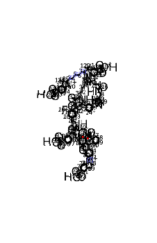 C[N+]1=C(/C=C/C=C/C=C2\N(CCCCCC(=O)NCc3cn(-c4cccc(C(=O)N[C@@H](CCCCN)C(=O)COc5c(F)cc(CNC(=O)C6CCN(S(=O)(=O)c7ccccc7-c7c8cc/c(=[N+]9\CCc%10cc(S(=O)(=O)O)ccc%109)cc-8oc8cc(N9CCc%10cc(S(=O)(=O)O)ccc%109)ccc78)CC6)cc5F)c4)nn3)c3ccc(S(=O)(=O)O)cc3C2(C)C)C(C)(C)c2cc(S(=O)(=O)O)ccc21